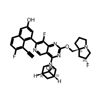 C#Cc1c(F)ccc2cc(O)cc(-c3ncc4c(N5C[C@H]6C[C@@H](C5)C6(C)O)nc(OC[C@@]56CCCN5C[C@H](F)C6)nc4c3F)c12